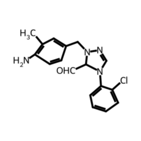 Cc1cc(CN2N=CN(c3ccccc3Cl)C2C=O)ccc1N